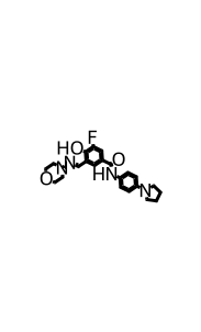 O=C(Nc1ccc(N2CCCC2)cc1)c1cc(F)c(O)c(/C=N/N2CCOCC2)c1